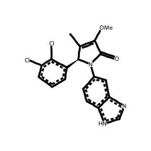 COC1=C(C)[C@H](c2cccc(Cl)c2Cl)N(c2ccc3[nH]cnc3c2)C1=O